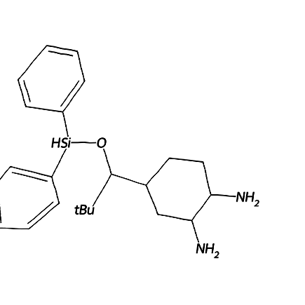 CC(C)(C)C(O[SiH](c1ccccc1)c1ccccc1)C1CCC(N)C(N)C1